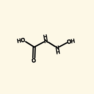 O=C(O)NNO